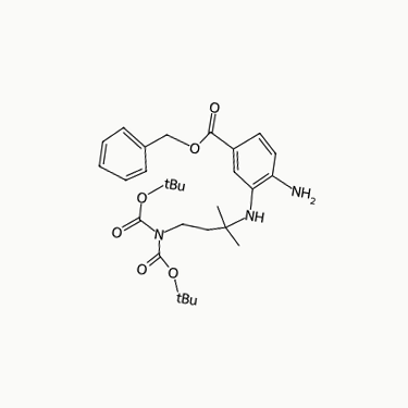 CC(C)(CCN(C(=O)OC(C)(C)C)C(=O)OC(C)(C)C)Nc1cc(C(=O)OCc2ccccc2)ccc1N